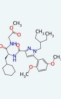 CCC(CC)Cn1nc(C(=O)N[C@@H](CC2CCCCC2)C(=O)NCC(=O)OC)cc1-c1cc(OC)ccc1OC